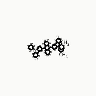 CC1CC2CC(C)C3(c4ccccc4-c4cc(-c5c6ccccc6c(-c6ccc7c(c6)c6ccccc6n7-c6ccccc6)c6ccccc56)ccc43)C(C1)C2